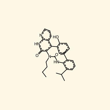 CCCCN(C(=O)Nc1c(C(C)C)cccc1C(C)C)c1c(-c2ccccc2O)c2cccnc2[nH]c1=O